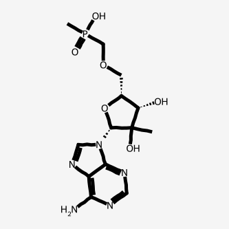 CC1(O)[C@@H](O)[C@@H](COCP(C)(=O)O)O[C@H]1n1cnc2c(N)ncnc21